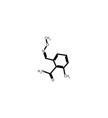 CO/N=C\c1cccc(C)c1C(N)=O